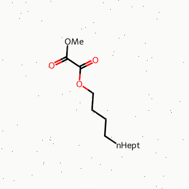 CCCCCCCCCCCOC(=O)C(=O)OC